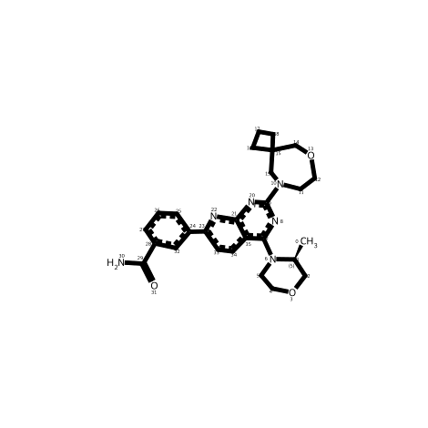 C[C@H]1COCCN1c1nc(N2CCOCC3(CCC3)C2)nc2nc(-c3cccc(C(N)=O)c3)ccc12